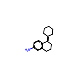 Nc1ccc2c(c1)CCCC2=C1CCCCC1